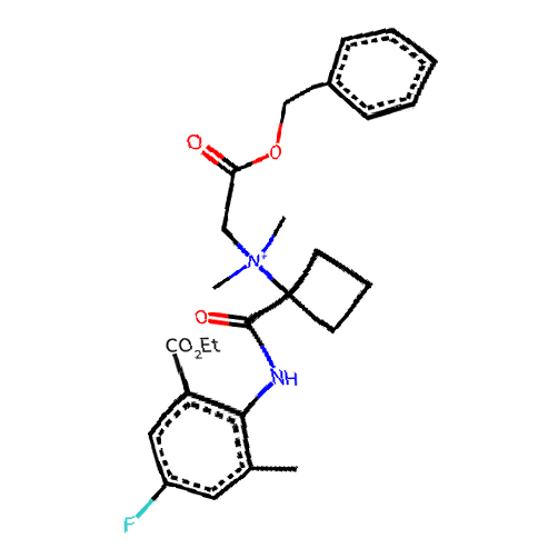 CCOC(=O)c1cc(F)cc(C)c1NC(=O)C1([N+](C)(C)CC(=O)OCc2ccccc2)CCC1